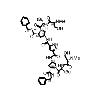 CN[C@@H](CO)C(=O)N[C@H](C(=O)N1C[C@@H](NC(=O)c2cc(C(=O)N[C@H]3C[C@@H](C(=O)N[C@H](C)c4ccccc4)N(C(=O)[C@@H](NC(=O)[C@H](CO)NC)C(C)(C)C)C3)[nH]n2)C[C@H]1C(=O)N[C@H](C)c1ccccc1)C(C)(C)C